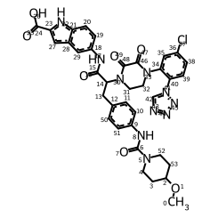 COC1CCN(C(=O)Nc2ccc(CC(C(=O)Nc3ccc4[nH]c(C(=O)O)cc4c3)N3CCN(c4cc(Cl)ccc4-n4cnnn4)C(=O)C3=O)cc2)CC1